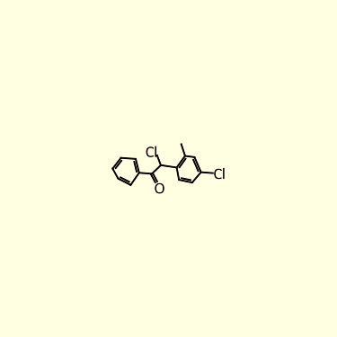 Cc1cc(Cl)ccc1C(Cl)C(=O)c1ccccc1